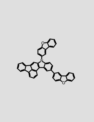 c1ccc2c(c1)-c1cccc3c1c-2cc1c3c2cc(-c3ccc4oc5ccccc5c4c3)ccc2n1-c1ccc2oc3ccccc3c2c1